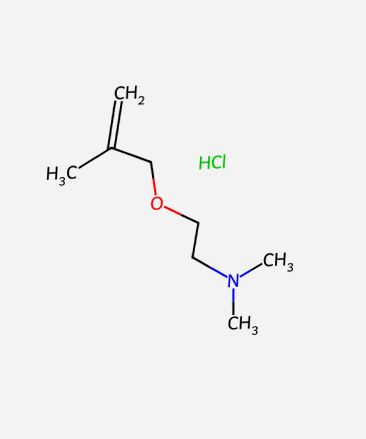 C=C(C)COCCN(C)C.Cl